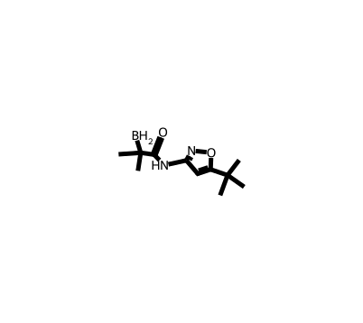 BC(C)(C)C(=O)Nc1cc(C(C)(C)C)on1